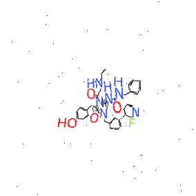 C=CCNCC(=O)N1[C@@H](NC(=O)NCc2ccccc2)CN(Cc2cccc(-c3cccnc3F)c2)C(=O)[C@@H]1Cc1ccc(O)cc1